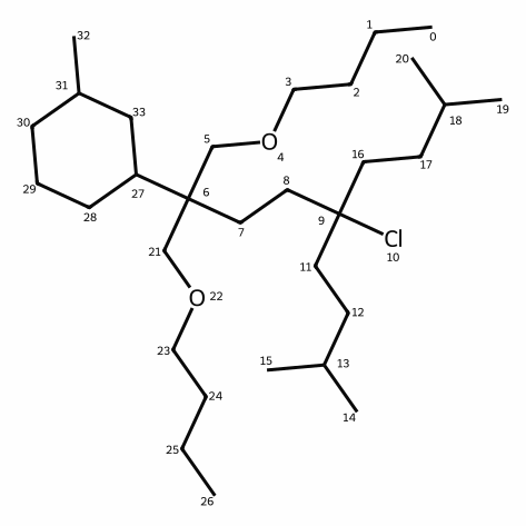 CCCCOCC(CCC(Cl)(CCC(C)C)CCC(C)C)(COCCCC)C1CCCC(C)C1